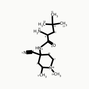 CC1CC(C#N)(NC(=O)C(N)CC(C)(C)C)CCN1C